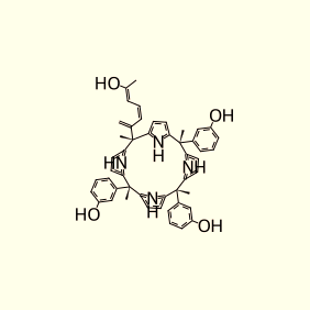 C=C(/C=C\C=C(/C)O)[C@]1(C)c2ccc([nH]2)[C@](C)(c2cccc(O)c2)c2ccc([nH]2)[C@](C)(c2cccc(O)c2)c2ccc([nH]2)[C@](C)(c2cccc(O)c2)c2ccc1[nH]2